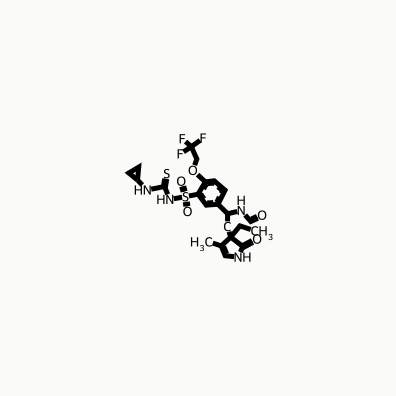 CCC1(CC(NC=O)c2ccc(OCC(F)(F)F)c(S(=O)(=O)NC(=S)NC3CC3)c2)C(=O)NC=C1C